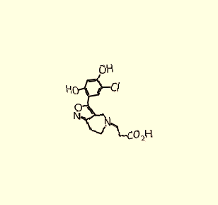 O=C(O)CCN1CCc2noc(-c3cc(Cl)c(O)cc3O)c2C1